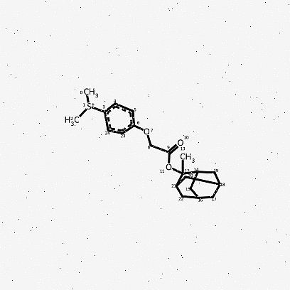 C[S+](C)c1ccc(OCC(=O)OC2(C)C3CC4CC(C3)CC2C4)cc1